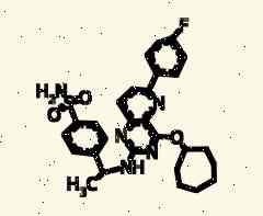 CC(Nc1nc(OC2CCCCCC2)c2nc(-c3ccc(F)cc3)ccc2n1)c1ccc(S(N)(=O)=O)cc1